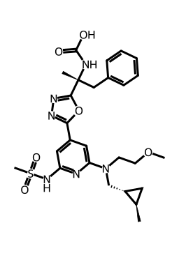 COCCN(C[C@@H]1C[C@H]1C)c1cc(-c2nnc([C@@](C)(Cc3ccccc3)NC(=O)O)o2)cc(NS(C)(=O)=O)n1